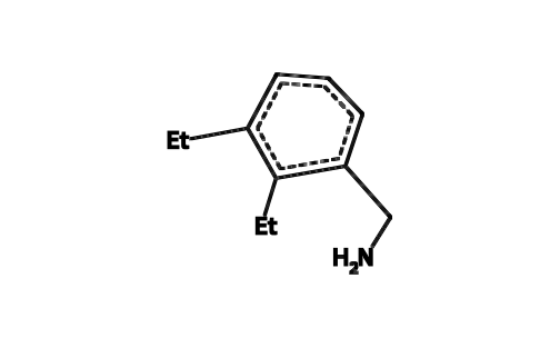 CCc1cccc(CN)c1CC